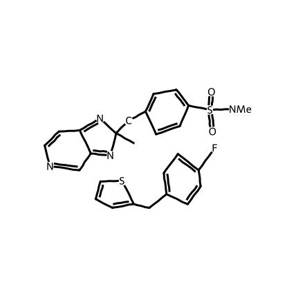 CNS(=O)(=O)c1ccc(CC2(C)N=c3ccncc3=N2)cc1.Fc1ccc(Cc2cccs2)cc1